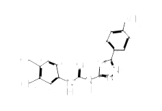 Bc1ccc(-c2nnc(NC(=O)Nc3ccc(Cl)c(Cl)c3)s2)cc1